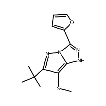 CSc1c(C(C)(C)C)nn2c(-c3ccco3)n[nH]c12